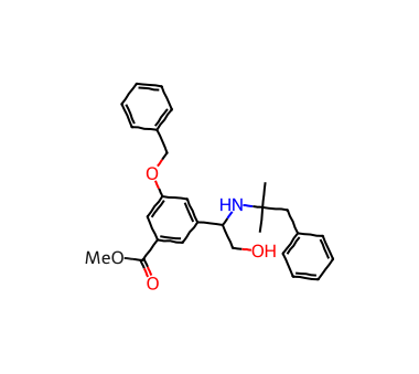 COC(=O)c1cc(OCc2ccccc2)cc(C(CO)NC(C)(C)Cc2ccccc2)c1